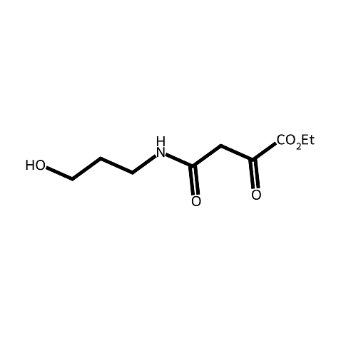 CCOC(=O)C(=O)CC(=O)NCCCO